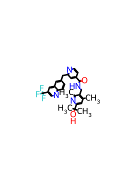 Cc1cc(C(C)(C)O)nc(C)c1CNC(=O)c1ccnc(Cc2ccc3ncc(C(F)(F)F)cc3c2)c1